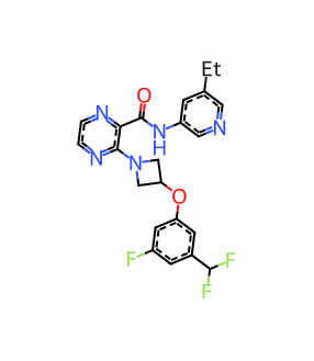 CCc1cncc(NC(=O)c2nccnc2N2CC(Oc3cc(F)cc(C(F)F)c3)C2)c1